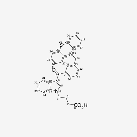 O=C(O)CCCn1cc(C(=O)c2cccc(CN3c4ccccc4Sc4ccccc43)c2)c2ccccc21